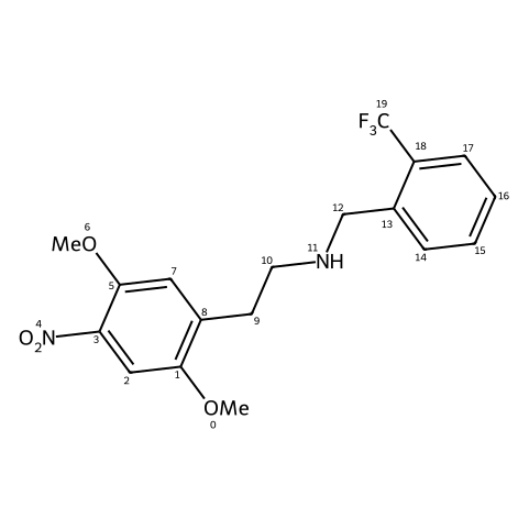 COc1cc([N+](=O)[O-])c(OC)cc1CCNCc1ccccc1C(F)(F)F